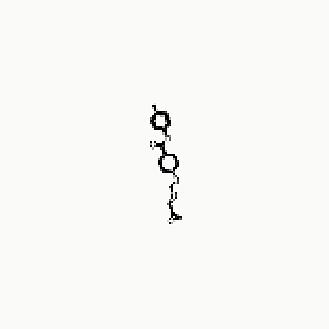 Cc1ccc(OC(=O)C2CCC(OCOCC3CO3)CC2)cc1